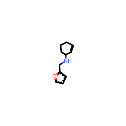 C1=CC(NCc2ccco2)CCC1